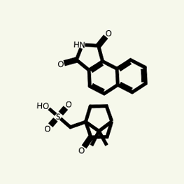 CC1(C)C2CCC1(CS(=O)(=O)O)C(=O)C2.O=C1NC(=O)c2c1ccc1ccccc21